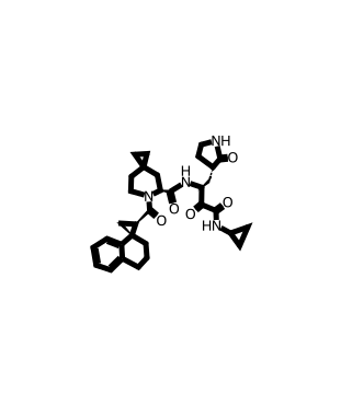 O=C(NC1CC1)C(=O)[C@H](C[C@@H]1CCNC1=O)NC(=O)[C@@H]1CC2(CCN1C(=O)[C@@H]1C[C@]13CCCc1ccccc13)CC2